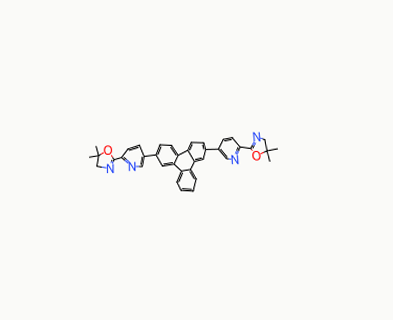 CC1(C)CN=C(c2ccc(-c3ccc4c5ccc(-c6ccc(C7=NCC(C)(C)O7)nc6)cc5c5ccccc5c4c3)cn2)O1